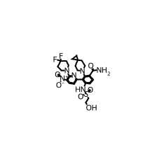 NC(=O)c1ccc(NS(=O)(=O)CCO)c(-c2ccc([N+](=O)[O-])c(N3CCC(F)(F)CC3)n2)c1N1CCC2(CC1)CC2